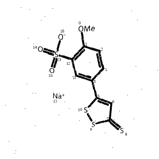 COc1ccc(-c2cc(=S)ss2)cc1S(=O)(=O)[O-].[Na+]